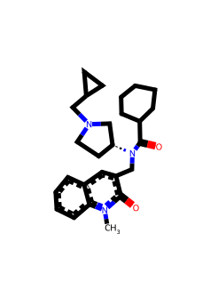 Cn1c(=O)c(CN(C(=O)C2CCCCC2)[C@@H]2CCN(CC3CC3)C2)cc2ccccc21